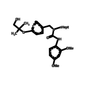 CCCCCCCN(Cc1ccc(OC(C)(C)CO)cc1)C(=O)Nc1ccc(OC)cc1OC